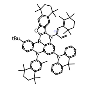 C=C/C(=C\C1=C(C)C(C)(C)CCC1(C)C)N1c2cc(N3c4ccccc4C(C)(C)c4ccccc43)cc3c2B(c2cc(C(C)(C)C)ccc2N3c2cc3c(cc2C)C(C)(C)CCC3(C)C)c2oc3cc4c(cc3c21)C(C)(C)CCC4(C)C